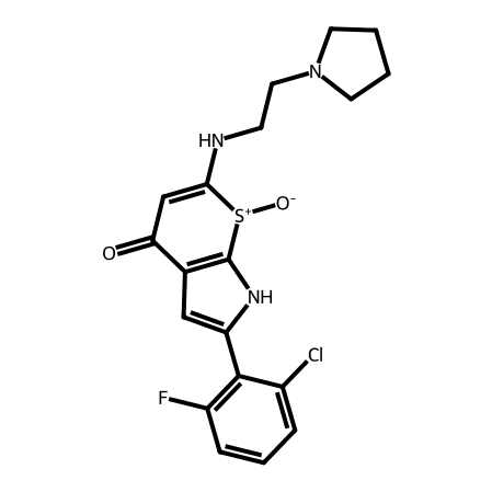 O=c1cc(NCCN2CCCC2)[s+]([O-])c2[nH]c(-c3c(F)cccc3Cl)cc12